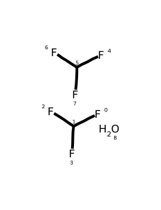 FC(F)F.FC(F)F.O